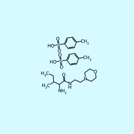 CCC(C)C(N)C(=O)NCCN1CCOCC1.Cc1ccc(S(=O)(=O)O)cc1.Cc1ccc(S(=O)(=O)O)cc1